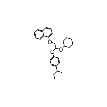 CCC(C)c1ccc(OC(COc2cccc3ccccc23)OC2CCCCC2)cc1